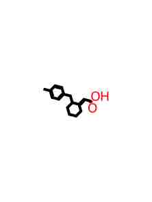 Cc1ccc(CC2CCCCC2=CC(=O)O)cc1